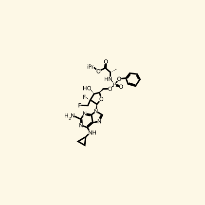 CC(C)OC(=O)[C@H](C)N[P@](=O)(OC[C@H]1O[C@@H](n2cnc3c(NC4CC4)nc(N)nc32)[C@@](F)(CF)[C@@H]1O)Oc1ccccc1